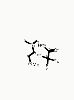 CNCCN(C)C.O=C(O)C(F)(F)F